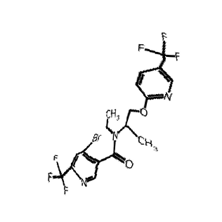 CCN(C(=O)c1cnc(C(F)(F)F)cc1Br)C(C)COc1ccc(C(F)(F)F)cn1